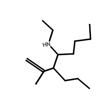 C=C(C)C(CCC)C(CCCC)NCC